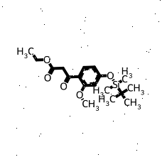 CCOC(=O)CC(=O)c1ccc(O[Si](C)(C)C(C)(C)C)cc1OC